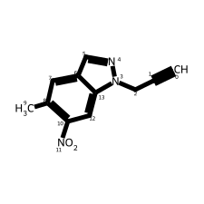 C#CCn1ncc2cc(C)c([N+](=O)[O-])cc21